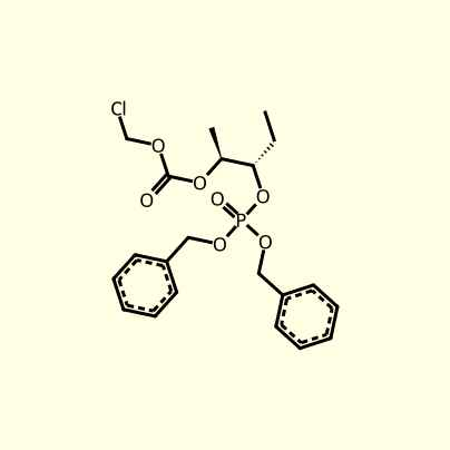 CC[C@H](OP(=O)(OCc1ccccc1)OCc1ccccc1)[C@H](C)OC(=O)OCCl